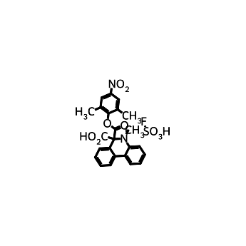 Cc1cc([N+](=O)[O-])cc(C)c1OC(=O)C1(C(=O)O)c2ccccc2-c2ccccc2N1C.O=S(=O)(O)F